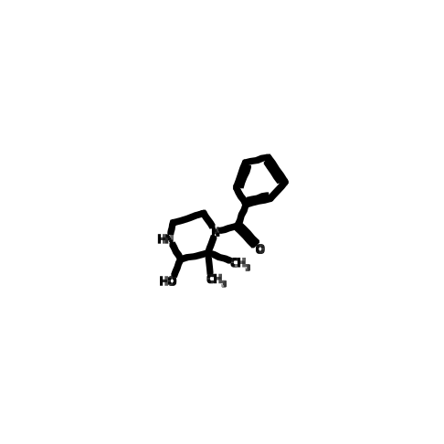 CC1(C)C(O)NCCN1C(=O)c1ccccc1